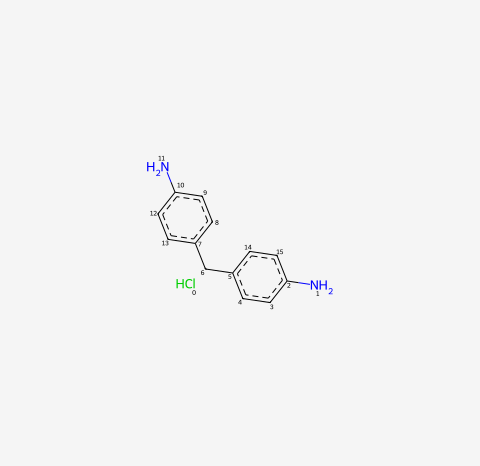 Cl.Nc1ccc(Cc2ccc(N)cc2)cc1